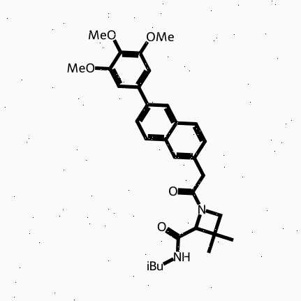 CCC(C)NC(=O)C1N(C(=O)Cc2ccc3cc(-c4cc(OC)c(OC)c(OC)c4)ccc3c2)CC1(C)C